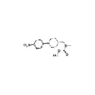 CN(CC1CCN(c2ccc([N+](=O)[O-])cc2)CC1)C(=O)OC(C)(C)C